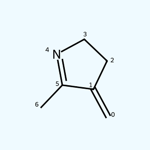 C=C1CCN=C1C